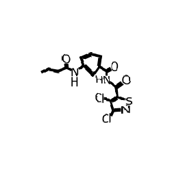 CCCC(=O)Nc1cccc(C(=O)NC(=O)c2snc(Cl)c2Cl)c1